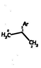 CCC.[Ar]